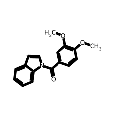 COc1ccc(C(=O)n2c[c]c3ccccc32)cc1OC